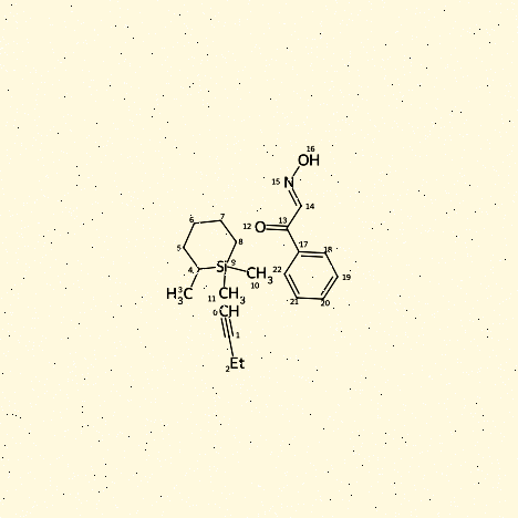 C#CCC.CC1CCCC[Si]1(C)C.O=C(C=NO)c1ccccc1